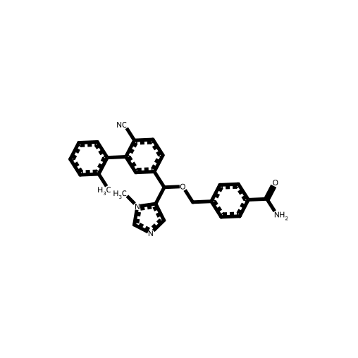 Cc1ccccc1-c1cc(C(OCc2ccc(C(N)=O)cc2)c2cncn2C)ccc1C#N